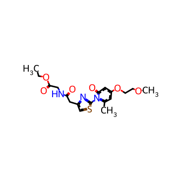 CCOC(=O)CNC(=O)Cc1csc(-n2c(C)cc(OCCOC)cc2=O)n1